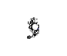 CC(C)(C)OC(=O)N[C@H]1CCCCC/C=C\[C@@H]2C[C@@]2(C(=O)NS(=O)(=O)OCCc2ccccc2)NC(=O)C2CCCN2C1=O